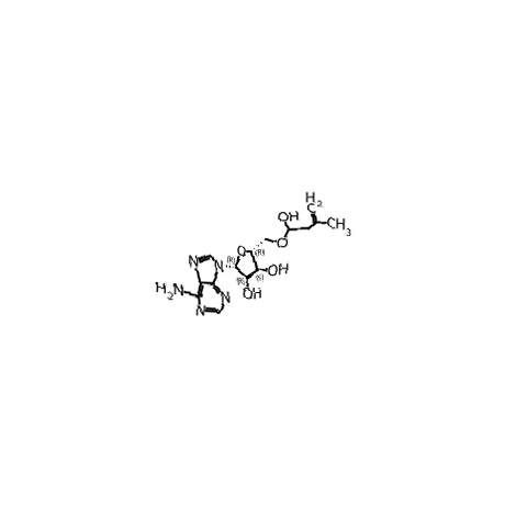 C=C(C)CC(O)OC[C@H]1O[C@@H](n2cnc3c(N)ncnc32)[C@H](O)[C@@H]1O